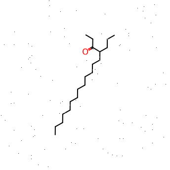 CCCCCCCCCCCCCC(CCC)C(=O)CC